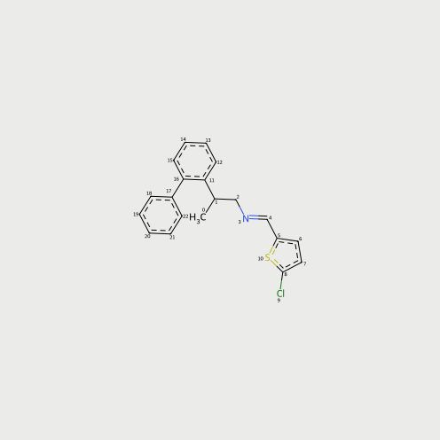 CC(C/N=C/c1ccc(Cl)s1)c1ccccc1-c1ccccc1